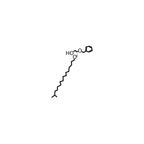 CC(C)CCCCCCCCCCCCCCOC[C@H](CO)OCc1ccccc1